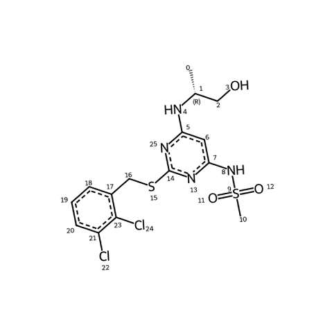 C[C@H](CO)Nc1cc(NS(C)(=O)=O)nc(SCc2cccc(Cl)c2Cl)n1